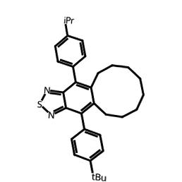 CC(C)c1ccc(-c2c3c(c(-c4ccc(C(C)(C)C)cc4)c4nsnc24)CCCCCCCC3)cc1